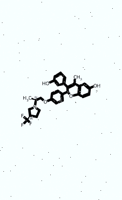 CC1=C(c2cccc(O)c2)C(c2ccc(OC[C@H](C)N3CC[C@@H](C(F)(F)F)C3)cc2)Oc2ccc(O)cc21